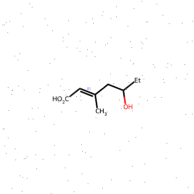 CCC(O)C/C(C)=C/C(=O)O